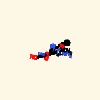 CC(C)(N)C(=O)N[C@H](COCc1ccccc1)c1nnc2cc(COC(=O)NCCCO)ccn12